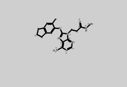 Cc1cc2c(cc1Sc1nc3c(N)ncnc3n1CCC(=O)NC(C)C)CCC2